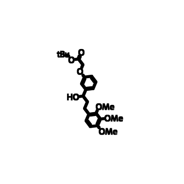 COc1ccc(CCC(O)c2cccc(OCC(=O)OC(C)(C)C)c2)c(OC)c1OC